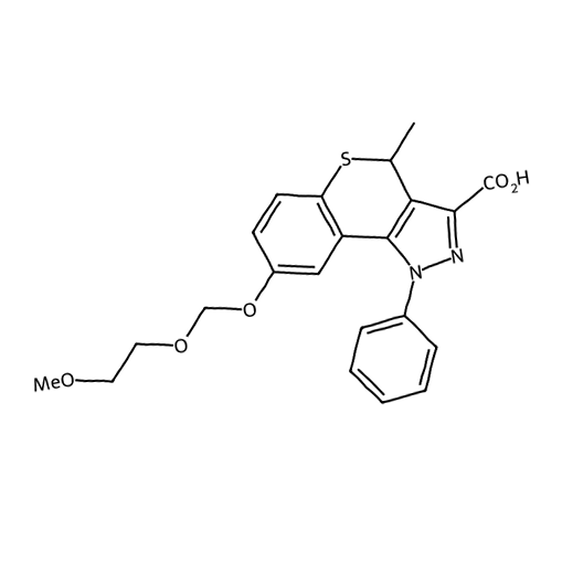 COCCOCOc1ccc2c(c1)-c1c(c(C(=O)O)nn1-c1ccccc1)C(C)S2